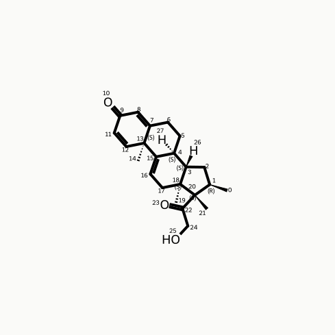 C[C@@H]1C[C@H]2[C@@H]3CCC4=CC(=O)C=C[C@]4(C)C3=CC[C@]2(C)[C@@]1(C)C(=O)CO